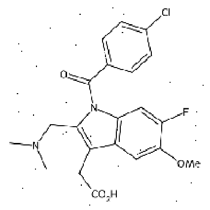 COc1cc2c(CC(=O)O)c(CN(C)C)n(C(=O)c3ccc(Cl)cc3)c2cc1F